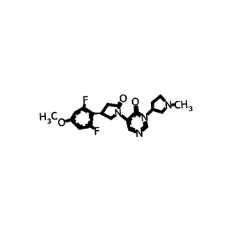 COc1cc(F)c([C@H]2CC(=O)N(c3cncn(C4CCN(C)C4)c3=O)C2)c(F)c1